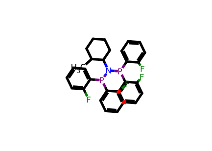 CC1CCCCC1N(P(c1ccccc1F)c1ccccc1F)P(c1ccccc1F)c1ccccc1F